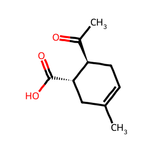 CC(=O)[C@H]1CC=C(C)C[C@@H]1C(=O)O